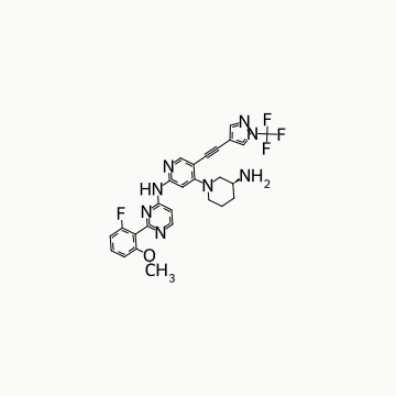 COc1cccc(F)c1-c1nccc(Nc2cc(N3CCC[C@H](N)C3)c(C#Cc3cnn(C(F)(F)F)c3)cn2)n1